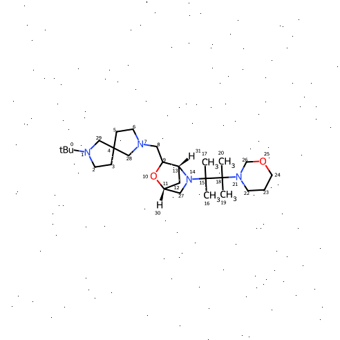 CC(C)(C)N1CCC2(CCN(CC3O[C@@H]4C[C@H]3N(C(C)(C)C(C)(C)N3CCCOC3)C4)C2)C1